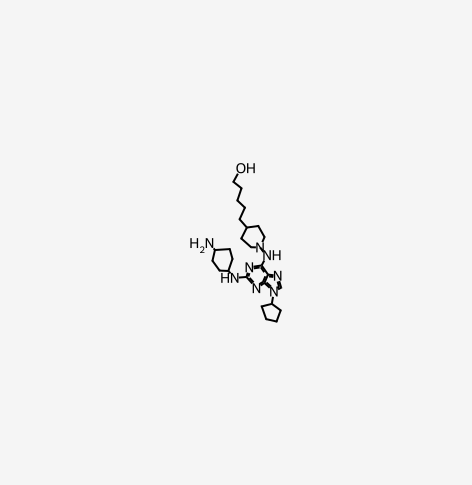 NC1CCC(Nc2nc(NN3CCC(CCCCCO)CC3)c3ncn(C4CCCC4)c3n2)CC1